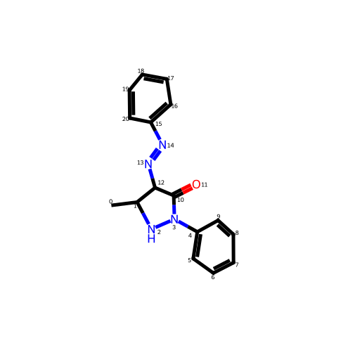 CC1NN(c2ccccc2)C(=O)C1N=Nc1ccccc1